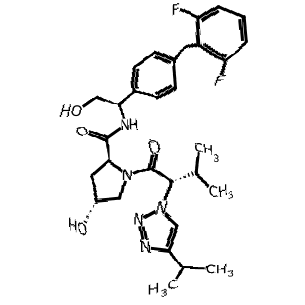 CC(C)c1cn([C@H](C(=O)N2C[C@H](O)C[C@H]2C(=O)N[C@@H](CO)c2ccc(-c3c(F)cccc3F)cc2)C(C)C)nn1